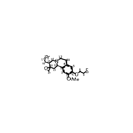 COc1cc2c(cc1OCCF)CCN1CC(CC(C)C)C3(CO3)CC21